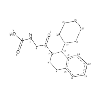 O=C(O)NCC(=O)N1CCc2ccccc2C1C1CCCCC1